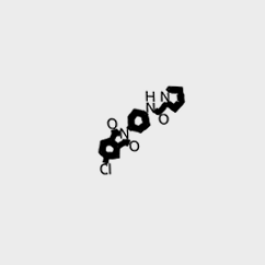 O=C(Nc1ccc(N2C(=O)c3ccc(Cl)cc3C2=O)cc1)c1ccccn1